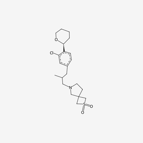 CC(Cc1ccc([C@@H]2CCCCO2)c(Cl)c1)CN1CCC2(C1)CS(=O)(=O)C2